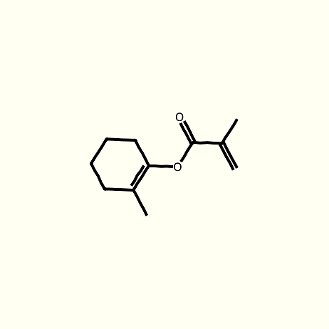 C=C(C)C(=O)OC1=C(C)CCCC1